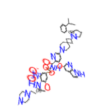 CC(C)c1ccccc1[C@@H]1CCCN1C1CC2(CCN(c3cnc(C(=O)NS(=O)(=O)c4cc5c(c([N+](=O)[O-])c4)N[C@@H](CCN4CCN(C)CC4)CO5)c(Oc4cnc5[nH]ccc5c4)c3)CC2)C1